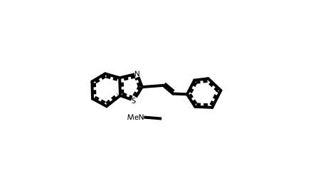 C(=Cc1nc2ccccc2s1)c1ccccc1.CNC